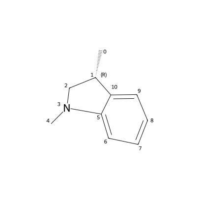 C[C@H]1CN(C)c2ccccc21